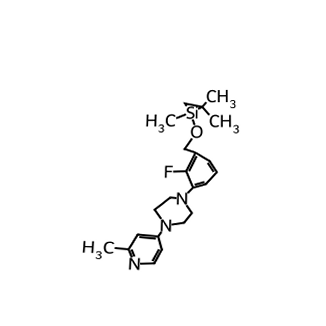 Cc1cc(N2CCN(c3cccc(CO[Si]4(C)CC4(C)C)c3F)CC2)ccn1